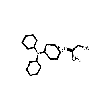 C1CCC(P(C2CCCCC2)C2CCCCC2)CC1.C=C(C)[CH2][Pd]